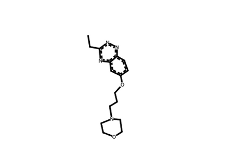 CCc1nnc2ccc(OCCCN3CCOCC3)cc2n1